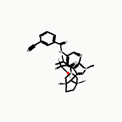 CC(C)C(=O)N1C[C@H]2CC[C@@H](C1)[C@@H]2c1cn(C)c2ncc(NC(=O)c3cccc(C#N)c3)c(C(F)(F)F)c12